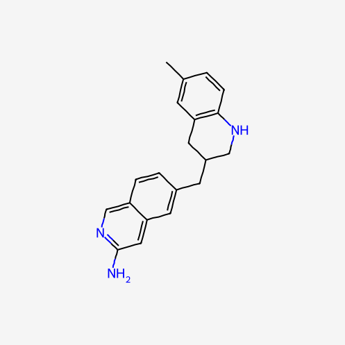 Cc1ccc2c(c1)CC(Cc1ccc3cnc(N)cc3c1)CN2